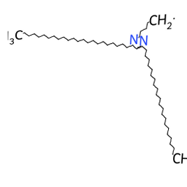 [CH2]CCCc1nc(CCCCCCCCCCCCCCCCCCCCCCC)cc(CCCCCCCCCCCCCCCCCCCCCCC)n1